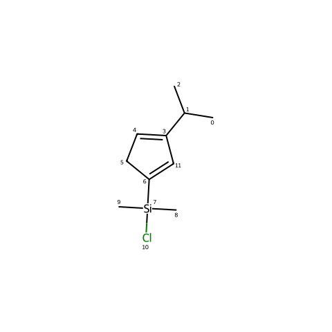 CC(C)C1=CCC([Si](C)(C)Cl)=C1